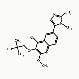 COc1nc2ccc(-c3cnc(C)n3C)cc2c(Cl)c1OCC(C)(C)O